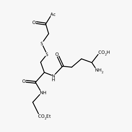 CCOC(=O)CNC(=O)C(CSSCC(=O)C(C)=O)NC(=O)CCC(N)C(=O)O